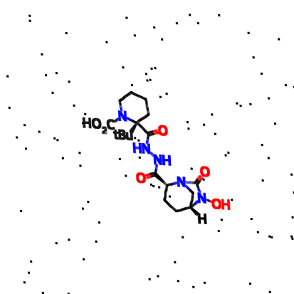 CC(C)(C)[C@]1(C(=O)NNC(=O)[C@@H]2CC[C@@H]3CN2C(=O)N3O)CCCCN1C(=O)O